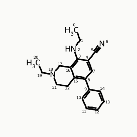 CCNc1c(C#N)cc(-c2ccccc2)c2c1CN(CC)CC2